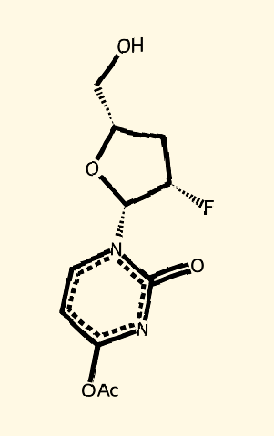 CC(=O)Oc1ccn([C@@H]2O[C@H](CO)C[C@@H]2F)c(=O)n1